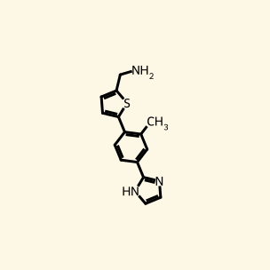 Cc1cc(-c2ncc[nH]2)ccc1-c1ccc(CN)s1